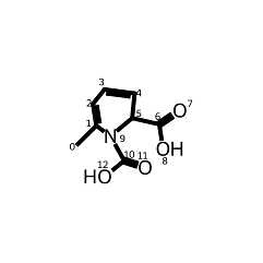 CC1=CC=CC(C(=O)O)N1C(=O)O